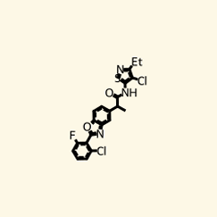 CCc1nsc(NC(=O)C(C)c2ccc3oc(-c4c(F)cccc4Cl)nc3c2)c1Cl